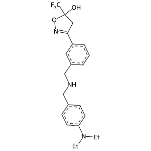 CCN(CC)c1ccc(CNCc2cccc(C3=NOC(O)(C(F)(F)F)C3)c2)cc1